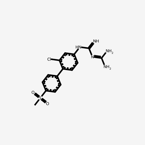 CS(=O)(=O)c1ccc(-c2ccc(NC(=N)N=C(N)N)cc2Cl)cc1